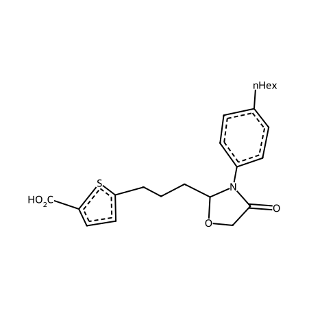 CCCCCCc1ccc(N2C(=O)COC2CCCc2ccc(C(=O)O)s2)cc1